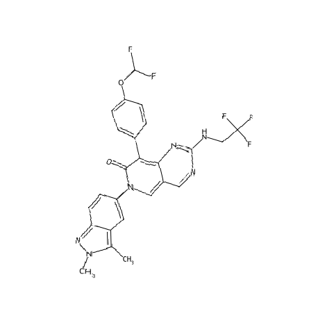 Cc1c2cc(-n3cc4cnc(NCC(F)(F)F)nc4c(-c4ccc(OC(F)F)cc4)c3=O)ccc2nn1C